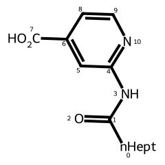 CCCCCCCC(=O)Nc1cc(C(=O)O)ccn1